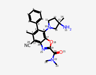 Cc1c(-c2ccccc2)c(N2CC[C@](C)(N)C2)c2oc(C(=O)N(C)C)nc2c1C#N